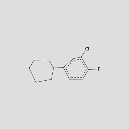 Fc1ccc([C]2CCCCC2)cc1Cl